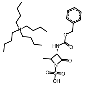 CC1[C@H](NC(=O)OCc2ccccc2)C(=O)N1S(=O)(=O)O.CCCC[N+](CCCC)(CCCC)CCCC